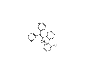 CC(c1ccccc1-c1ccccc1Cl)N(c1cccnc1)c1cccnc1